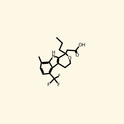 CCCC1(CC(=O)O)OCCc2c1[nH]c1c(C)ccc(C(F)(F)F)c21